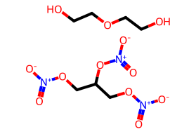 O=[N+]([O-])OCC(CO[N+](=O)[O-])O[N+](=O)[O-].OCCOCCO